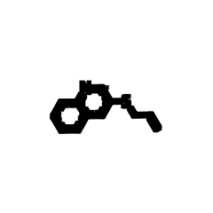 C=CCSc1[c]nc2ccccc2c1